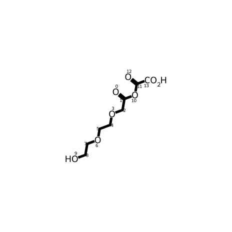 O=C(COCCOCCO)OC(=O)C(=O)O